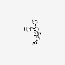 CCOC1CCN(S(=O)(=O)c2ccc(-c3cccnc3)c(CN)c2)C1